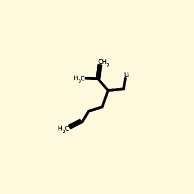 [Li][CH2]C(CCC=C)C(=C)C